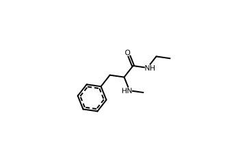 CCNC(=O)C(Cc1ccccc1)NC